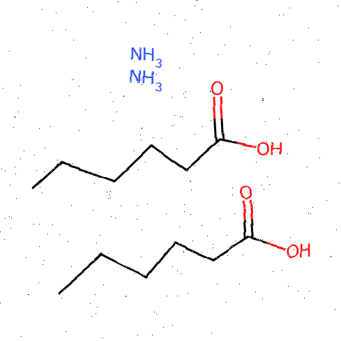 CCCCCC(=O)O.CCCCCC(=O)O.N.N